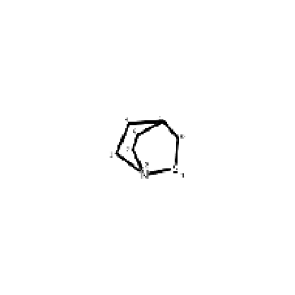 [CH]1SN2CCC1CC2